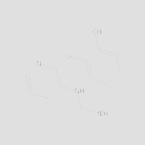 Cc1ccccc1Oc1ncccc1NCC(C)(C)C